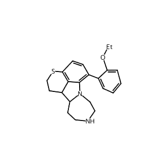 CCOc1ccccc1-c1ccc2c3c1N1CCNCCC1C3CCS2